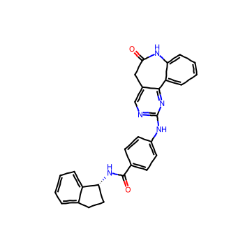 O=C1Cc2cnc(Nc3ccc(C(=O)N[C@@H]4CCc5ccccc54)cc3)nc2-c2ccccc2N1